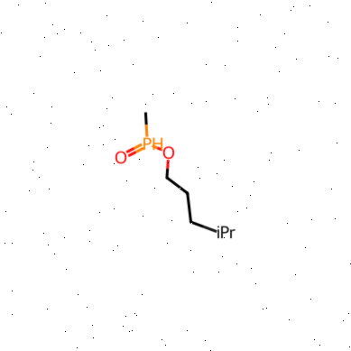 CC(C)CCCO[PH](C)=O